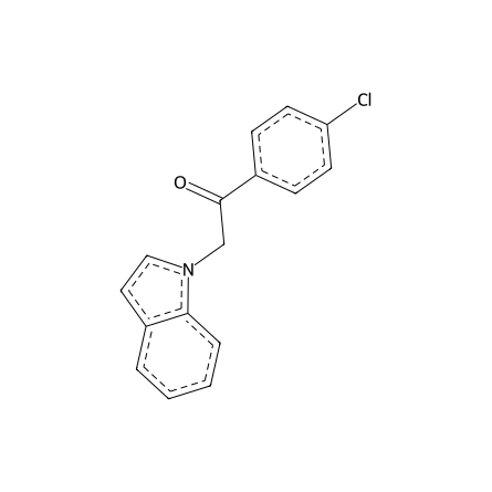 O=C(Cn1ccc2ccccc21)c1ccc(Cl)cc1